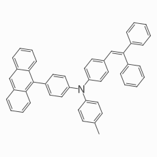 Cc1ccc(N(c2ccc(C=C(c3ccccc3)c3ccccc3)cc2)c2ccc(-c3c4ccccc4cc4ccccc34)cc2)cc1